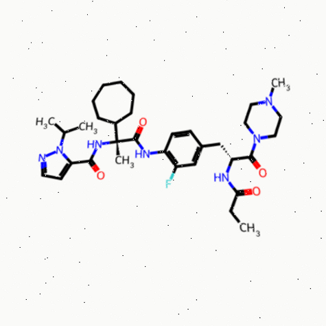 CCC(=O)N[C@H](Cc1ccc(NC(=O)[C@](C)(NC(=O)c2ccnn2C(C)C)C2CCCCCC2)c(F)c1)C(=O)N1CCN(C)CC1